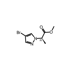 COC(=O)[C@@H](C)n1cc(Br)cn1